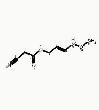 N#CCC(=O)OCC=C[SiH2]O[SiH3]